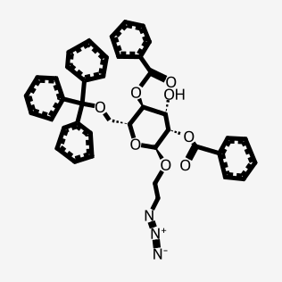 [N-]=[N+]=NCCO[C@H]1O[C@H](COC(c2ccccc2)(c2ccccc2)c2ccccc2)[C@@H](OC(=O)c2ccccc2)[C@H](O)[C@@H]1OC(=O)c1ccccc1